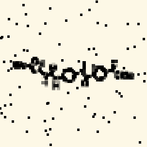 COC(=O)c1ccc(C(=O)Nc2ccc(NC(=O)Nc3cc(C(C)(C)C)on3)cc2)nc1